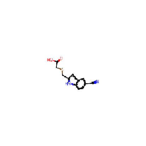 N#Cc1ccc2[nH]c(CSCC(=O)O)cc2c1